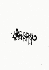 C#C[C@H]1O[C@@H](n2cnc3c(NC4CCCCC4F)ncnc32)[C@@H]2OC(C)(C)O[C@@H]21